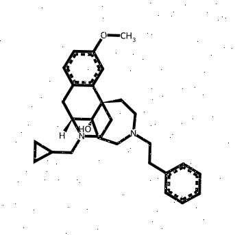 COc1ccc2c(c1)[C@@]13CCN(CCc4ccccc4)CC[C@@]1(O)[C@@H](C2)N(CC1CC1)CC3